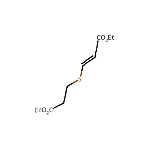 CCOC(=O)/C=C/SCCC(=O)OCC